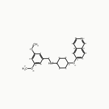 COc1cc(CNC2CCC(Oc3ccc4cnccc4c3)CC2)cc(OC)c1